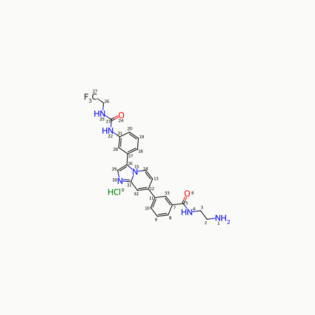 Cl.NCCNC(=O)c1cccc(-c2ccn3c(-c4cccc(NC(=O)NCC(F)(F)F)c4)cnc3c2)c1